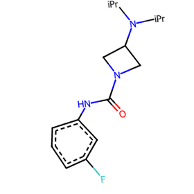 CC(C)N(C(C)C)C1CN(C(=O)Nc2cccc(F)c2)C1